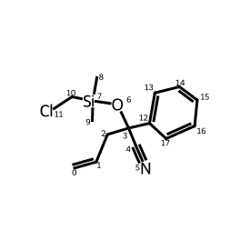 C=CCC(C#N)(O[Si](C)(C)CCl)c1ccccc1